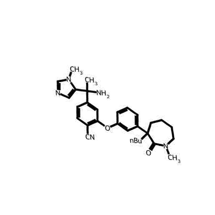 CCCCC1(c2cccc(Oc3cc(C(C)(N)c4cncn4C)ccc3C#N)c2)CCCCN(C)C1=O